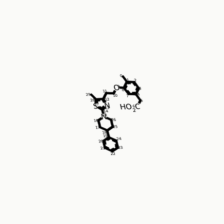 Cc1ccc(CC(=O)O)cc1OCCc1nc(N2CCC(c3ccccc3)CC2)sc1C